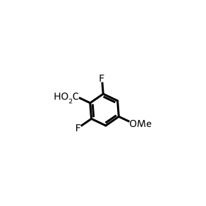 COc1cc(F)c(C(=O)O)c(F)c1